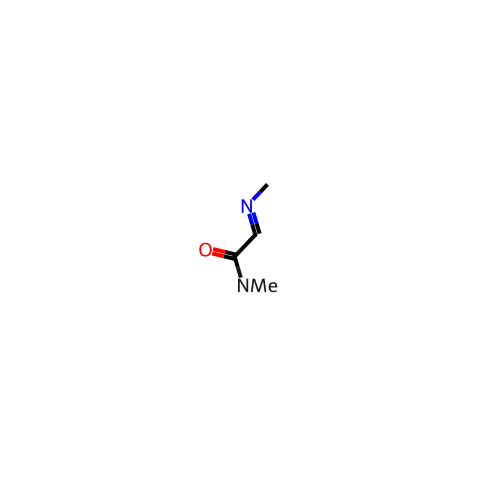 CN=CC(=O)NC